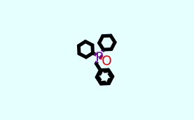 O=P(Cc1ccccc1)(C1CCCCC1)C1CCCCC1